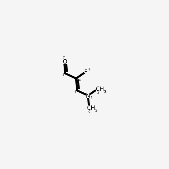 CN(C)C=C(F)C=O